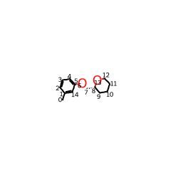 Cc1cccc(OC[C@H]2CCCCO2)c1